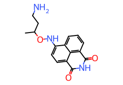 CC(CCN)ONc1ccc2c3c(cccc13)C(=O)NC2=O